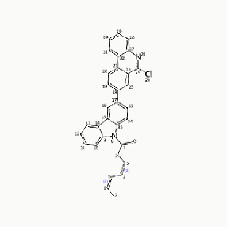 C=C(C/C=C\C=C/C)n1c2ccccc2c2cc(-c3ccc4c(c3)c(Cl)nc3ccccc34)ccc21